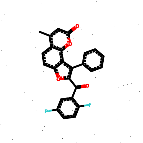 Cc1cc(=O)oc2c1ccc1oc(C(=O)c3cc(F)ccc3F)c(-c3ccccc3)c12